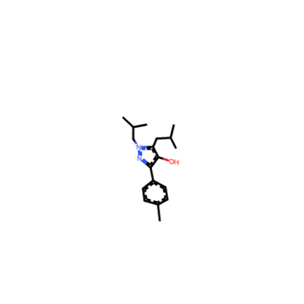 Cc1ccc(-c2nn(CC(C)C)c(CC(C)C)c2O)cc1